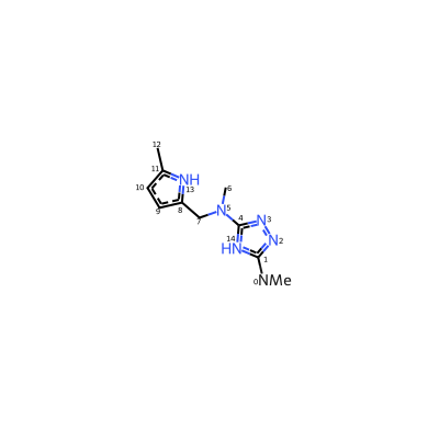 CNc1nnc(N(C)Cc2ccc(C)[nH]2)[nH]1